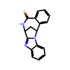 S=C1NC2CC(c3ccccc31)n1c2nc2ccccc21